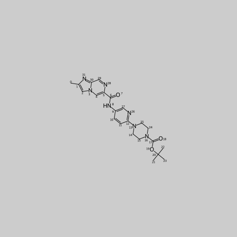 Cc1cn2cc(C(=O)Nc3ccc(N4CCN(C(=O)OC(C)(C)C)CC4)nc3)ncc2n1